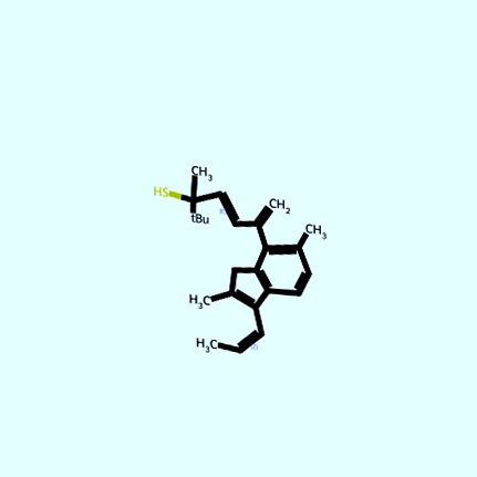 C=C(/C=C/C(C)(S)C(C)(C)C)c1c(C)ccc2c1CC(C)=C2/C=C\C